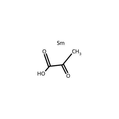 CC(=O)C(=O)O.[Sm]